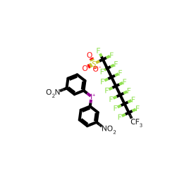 O=S(=O)([O-])C(F)(F)C(F)(F)C(F)(F)C(F)(F)C(F)(F)C(F)(F)C(F)(F)C(F)(F)F.O=[N+]([O-])c1cccc([I+]c2cccc([N+](=O)[O-])c2)c1